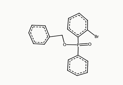 O=P(OCc1ccccc1)(c1ccccc1)c1ccccc1Br